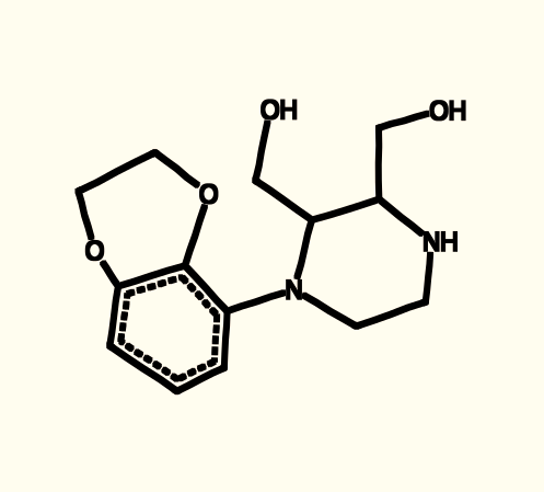 OCC1NCCN(c2cccc3c2OCCO3)C1CO